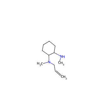 C=CCN(C)C1CCCCC1NC